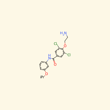 CC(C)Oc1cccc(NC(=O)c2cc(Cl)c(OCCN)c(Cl)c2)c1